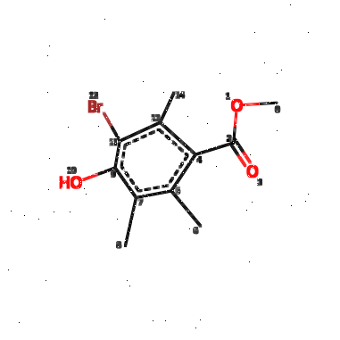 COC(=O)c1c(C)c(C)c(O)c(Br)c1C